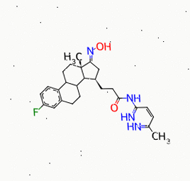 CC(=N)/C=C\C(=N)NC(=O)CC[C@@H]1C/C(=N\O)[C@@]2(C)CCC3c4ccc(F)cc4CCC3C12